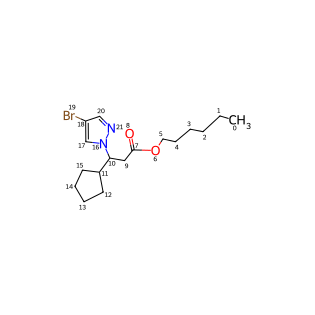 CCCCCCOC(=O)CC(C1CCCC1)n1cc(Br)cn1